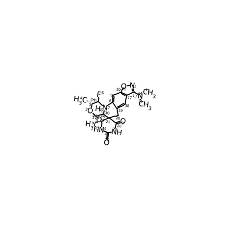 C[C@@H]1O[C@H](C)C(F)N2c3cc4onc(N(C)C)c4cc3CC3(C(=O)NC(=O)NC3=O)[C@@H]12